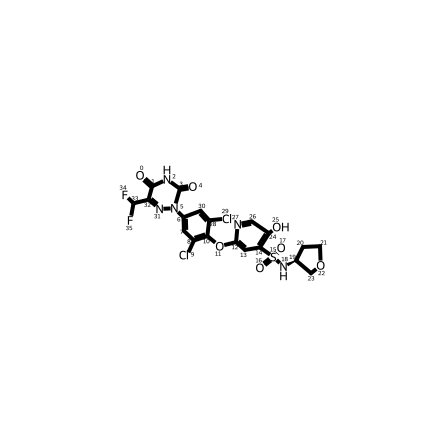 O=c1[nH]c(=O)n(-c2cc(Cl)c(Oc3cc(S(=O)(=O)N[C@H]4CCOC4)c(O)cn3)c(Cl)c2)nc1C(F)F